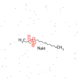 CCCCCCCCCCCC(=O)OS(=O)(=O)CC(O)CC.[NaH]